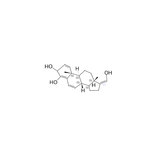 C[C@]12C=CC(O)C(O)=C1C=C[C@@H]1[C@@H]2CC[C@]2(C)/C(=C\O)CC[C@@H]12